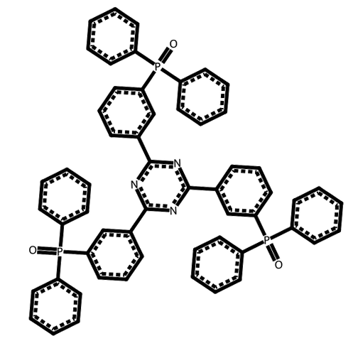 O=P(c1ccccc1)(c1ccccc1)c1cccc(-c2nc(-c3cccc(P(=O)(c4ccccc4)c4ccccc4)c3)nc(-c3cccc(P(=O)(c4ccccc4)c4ccccc4)c3)n2)c1